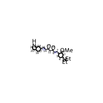 CCN(CC)c1ccc(/C=C/C(=O)CC(=O)/C=C/c2ccc3cc[nH]c3c2)c(OC)c1